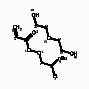 C=CC(=O)OOCC(CC)CCCC.OCCOCCO